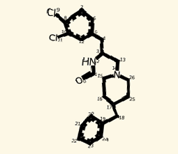 O=CNC(Cc1ccc(Cl)c(Cl)c1)CN1CCC(Cc2ccccc2)CC1